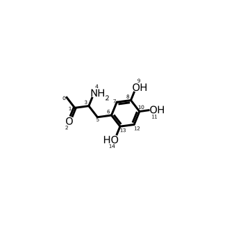 CC(=O)C(N)Cc1cc(O)c(O)cc1O